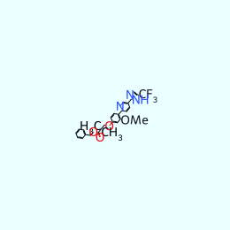 COc1cc(OCC(C)(C)C(=O)OCc2ccccc2)ccc1-c1ccc(-c2ncc(C(F)(F)F)[nH]2)cn1